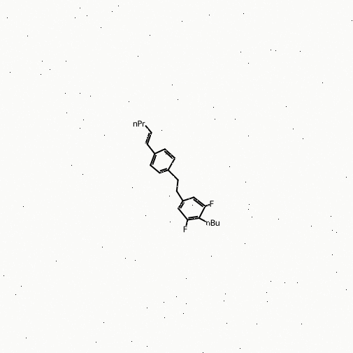 CCCC=Cc1ccc(CCc2cc(F)c(CCCC)c(F)c2)cc1